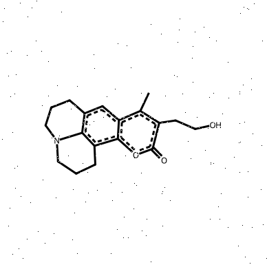 Cc1c(CCO)c(=O)oc2c3c4c(cc12)CCCN4CCC3